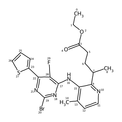 CCOC(=O)CCC(C)c1nccc(C)c1Nc1nc(Br)nc(-c2cccs2)c1F